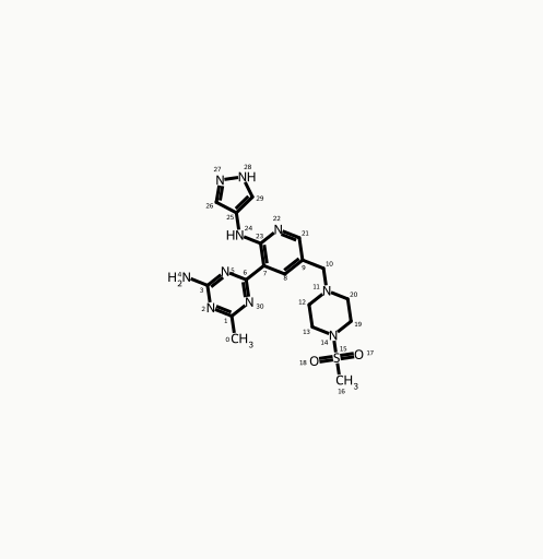 Cc1nc(N)nc(-c2cc(CN3CCN(S(C)(=O)=O)CC3)cnc2Nc2cn[nH]c2)n1